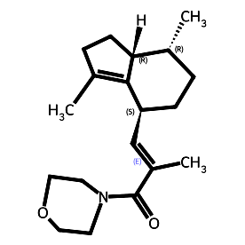 CC1=C2[C@H](/C=C(\C)C(=O)N3CCOCC3)CC[C@@H](C)[C@H]2CC1